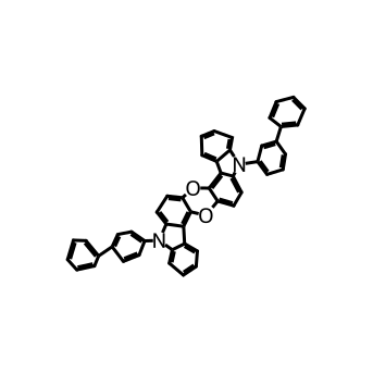 c1ccc(-c2ccc(-n3c4ccccc4c4c5c(ccc43)Oc3c(ccc4c3c3ccccc3n4-c3cccc(-c4ccccc4)c3)O5)cc2)cc1